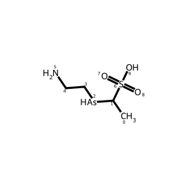 CC([AsH]CCN)S(=O)(=O)O